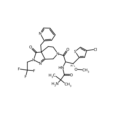 CO[C@@H](c1cc(Cl)cs1)C(NC(=O)C(C)(C)N)C(=O)N1CCC2(Cc3ccccn3)C(=O)N(CC(F)(F)F)N=C2C1